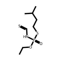 CCOP(=O)(NC=S)SCCC(C)C